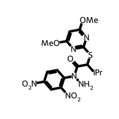 COc1cc(OC)nc(SC(C(=O)N(N)c2ccc([N+](=O)[O-])cc2[N+](=O)[O-])C(C)C)n1